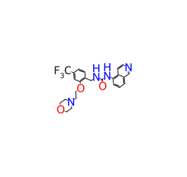 O=C(NCc1ccc(C(F)(F)F)cc1OCCN1CCOCC1)Nc1cccc2cnccc12